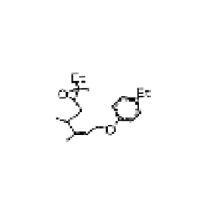 CCc1ccc(OCC=C(C)C(C)CC2OC2(C)CC)cc1